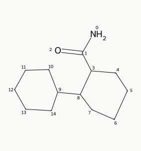 NC(=O)C1CCCCC1C1CCCCC1